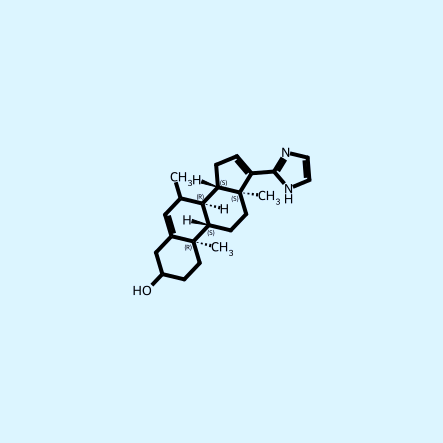 CC1C=C2CC(O)CC[C@]2(C)[C@H]2CC[C@]3(C)C(c4ncc[nH]4)=CC[C@H]3[C@H]12